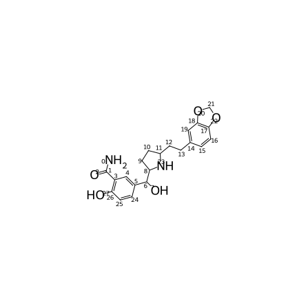 NC(=O)c1cc(C(O)C2CCC(CCc3ccc4c(c3)OCO4)N2)ccc1O